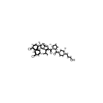 CC(C)C1=C(C(=O)N2[C@H](C)CC[C@H]2C(=O)N2CCN(CCCO)[C@@H](C)C2)SC2=N[C@@](C)(c3ccc(Cl)cc3)[C@@H](c3ccc(Cl)cc3)N21